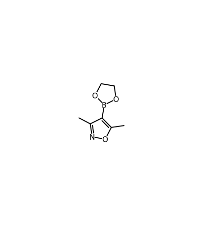 Cc1noc(C)c1B1OCCO1